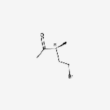 CC(=O)[C@@H](C)CCBr